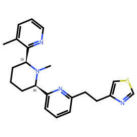 Cc1cccnc1[C@@H]1CCC[C@H](c2cccc(CCc3cscn3)n2)N1C